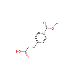 CCOC(=O)c1ccc(CCC(=O)O)cc1